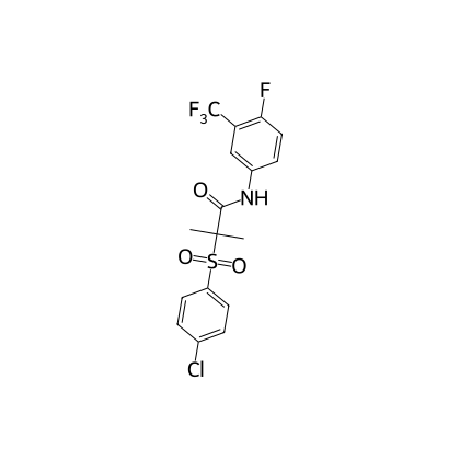 CC(C)(C(=O)Nc1ccc(F)c(C(F)(F)F)c1)S(=O)(=O)c1ccc(Cl)cc1